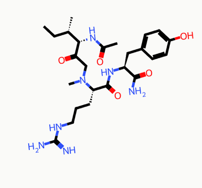 CC[C@H](C)[C@H](NC(C)=O)C(=O)CN(C)[C@@H](CCCNC(=N)N)C(=O)N[C@@H](Cc1ccc(O)cc1)C(N)=O